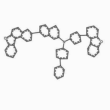 c1ccc(-c2ccc(N(c3ccc(-c4cccc5oc6ccccc6c45)cc3)c3ccc4ccc(-c5ccc6c(ccc7oc8ccccc8c76)c5)cc4c3)cc2)cc1